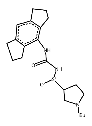 CCC(C)N1CCC([S+]([O-])NC(=O)Nc2c3c(cc4c2CCC4)CCC3)C1